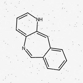 [C]1=C2NC=CC=C2N=Cc2ccccc21